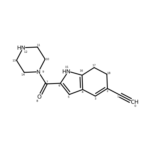 C#CC1=Cc2cc(C(=O)N3CCNCC3)[nH]c2CC1